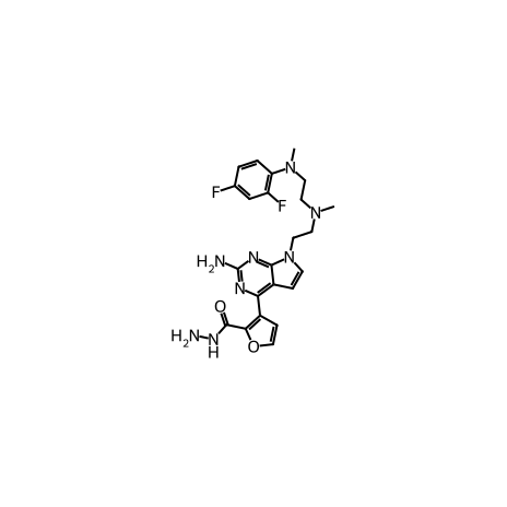 CN(CCN(C)c1ccc(F)cc1F)CCn1ccc2c(-c3ccoc3C(=O)NN)nc(N)nc21